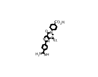 CCOc1nc(-c2ccc(C(=N)N)cc2)ncc1C(=O)N(C)[C@H]1CC[C@H](C(=O)O)CC1